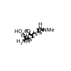 CNN1NC=C(SCC2=C(OC(=O)O)N3C(=O)C(N)[C@@H]3SC2)S1